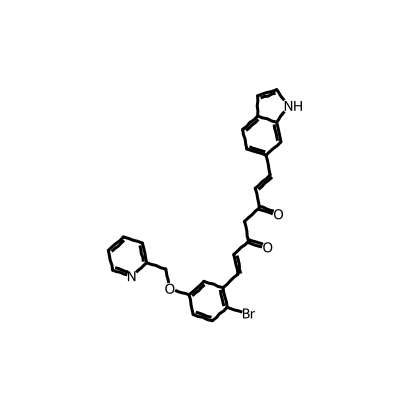 O=C(C=Cc1ccc2cc[nH]c2c1)CC(=O)C=Cc1cc(OCc2ccccn2)ccc1Br